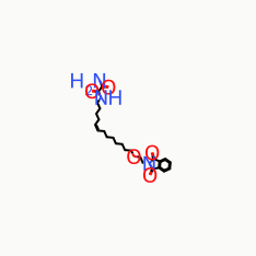 NC(=O)C(=O)NCCCC/C=C\CCCCCCCOCCN1C(=O)c2ccccc2C1=O